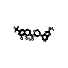 C[C@@H]1c2c(Cl)cc(C(F)(F)F)cc2CCN1C(=O)[C@H]1CN(c2cncc3nc(N)nn23)CCO1